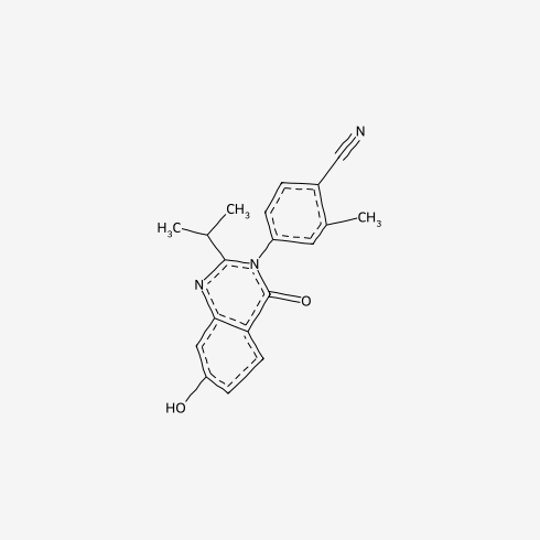 Cc1cc(-n2c(C(C)C)nc3cc(O)ccc3c2=O)ccc1C#N